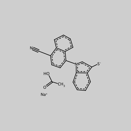 CC(=O)O.N#Cc1ccc(-n2cc([S-])c3ccccc32)c2ccccc12.[Na+]